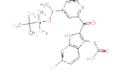 CC(O[Si](C)(C)C(C)(C)C)c1ccnc(C(=O)c2[nH]c3cc(Cl)ccc3c2CC(=O)O)c1